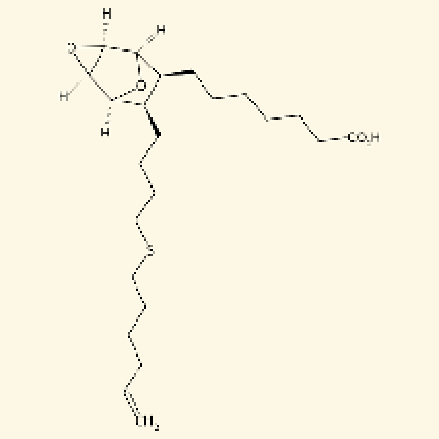 C=CCCCCSCCCC[C@@H]1[C@H](CCCCCCC(=O)O)[C@H]2O[C@@H]1[C@H]1O[C@H]12